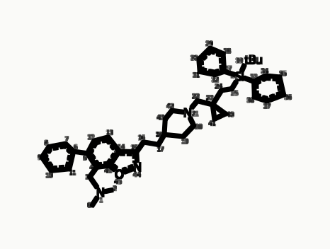 CN(C)Cc1c(-c2ccccc2)ccc2c(CCC3CCN(CC4(CC[Si](c5ccccc5)(c5ccccc5)C(C)(C)C)CC4)CC3)noc12